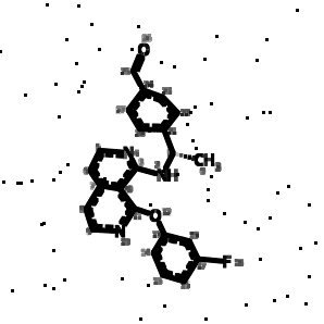 C[C@H](Nc1nccc2ccnc(Oc3cccc(F)c3)c12)c1ccc(C=O)cc1